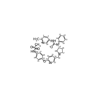 Cc1ccc(NC(=O)N(c2ccccc2)[C@@H]2CCN(Cc3ccc(Oc4ccc(NS(C)(=O)=O)cc4)nc3)C2)cn1